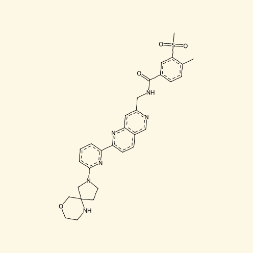 Cc1ccc(C(=O)NCc2cc3nc(-c4cccc(N5CCC6(COCCN6)C5)n4)ccc3cn2)cc1S(C)(=O)=O